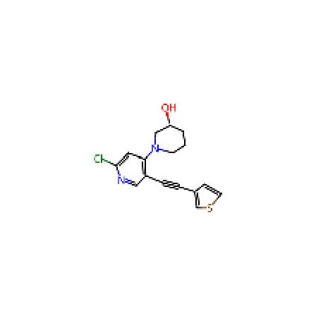 O[C@H]1CCCN(c2cc(Cl)ncc2C#Cc2ccsc2)C1